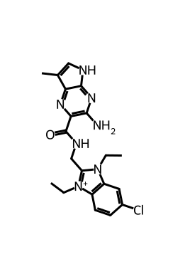 CCn1c(CNC(=O)c2nc3c(C)c[nH]c3nc2N)[n+](CC)c2ccc(Cl)cc21